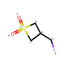 O=S1(=O)CC(CI)C1